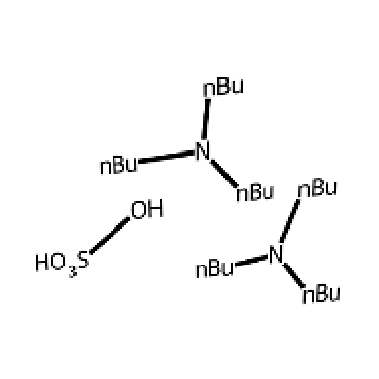 CCCCN(CCCC)CCCC.CCCCN(CCCC)CCCC.O=S(=O)(O)O